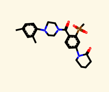 Cc1ccc(N2CCN(C(=O)c3ccc(N4CCCCC4=O)cc3S(C)(=O)=O)CC2)c(C)c1